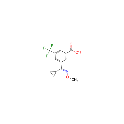 CON=C(c1cc(C(=O)O)cc(C(F)(F)F)c1)C1CC1